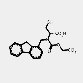 O=C(O)[C@@H](CS)N(Cc1cccc2c1Cc1ccccc1-2)C(=O)OCC(Cl)(Cl)Cl